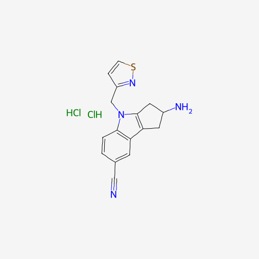 Cl.Cl.N#Cc1ccc2c(c1)c1c(n2Cc2ccsn2)CC(N)C1